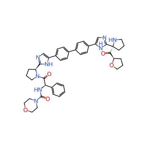 O=C(N[C@@H](C(=O)N1CCC[C@H]1c1ncc(-c2ccc(-c3ccc(-c4cnc([C@]5(C(=O)[C@H]6CCCO6)CCCN5)[nH]4)cc3)cc2)[nH]1)c1ccccc1)N1CCOCC1